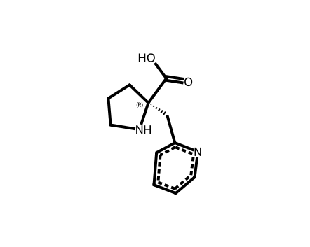 O=C(O)[C@]1(Cc2ccccn2)CCCN1